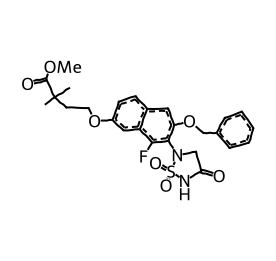 COC(=O)C(C)(C)CCOc1ccc2cc(OCc3ccccc3)c(N3CC(=O)NS3(=O)=O)c(F)c2c1